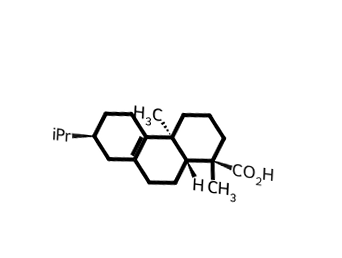 CC(C)[C@H]1CCC2=C(CC[C@H]3[C@](C)(C(=O)O)CCC[C@]23C)C1